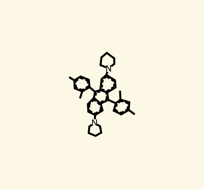 Cc1ccc(-c2c3ccc(N4CCCCC4)cc3c(-c3ccc(C)cc3C)c3ccc(N4CCCCC4)cc23)c(C)c1